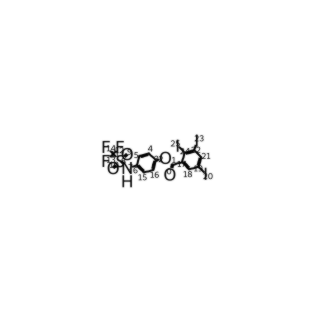 O=C(Oc1ccc(NS(=O)(=O)C(F)(F)F)cc1)c1cc(I)cc(I)c1I